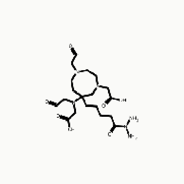 NN(N)C(=O)CCCCC1(N(CC=O)CC(=O)O)CCN(CC=O)CCN(CC(=O)O)C1